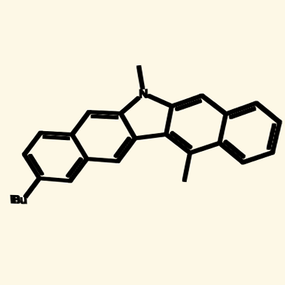 CCC(C)c1ccc2cc3c(cc2c1)c1c(C)c2ccccc2cc1n3C